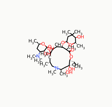 CC[C@H]1OC(=O)[C@H](C)[C@@H](OC2CC(C)(C)[C@@H](O)[C@H](C)O2)C(C)[C@@H](OC2O[C@H](C)C[C@H](N(C)C)[C@H]2O)[C@](C)(O)C[C@@H](C)CN(C)[C@H](C)[C@@H](O)[C@]1(C)O